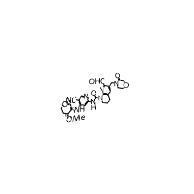 CO[C@H]1CCOC[C@@H]1Nc1cc(NC(=O)N2CCCc3cc(CN4CCOCC4=O)c(C=O)nc32)ncc1C#N